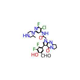 CC1CNCCN1c1cc(NC(=O)Cn2cc(-c3cc(C=O)c(O)c(F)c3F)c3c(=O)n4c(nc32)CCC4)c(Cl)c(F)n1